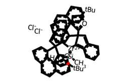 C[Si](C)=[Zr+2]([C]1=c2ccccc2=CC1(c1ccc(C(C)(C)C)o1)c1cccc2ccc3ccccc3c12)[C]1=c2ccccc2=CC1(c1ccc(C(C)(C)C)o1)c1cccc2ccc3ccccc3c12.[Cl-].[Cl-]